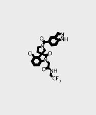 O=C(CN1C(=O)C2(CCN(C(=O)c3ccc4[nH]ncc4c3)C2)c2c(Cl)cccc21)NCC(F)(F)F